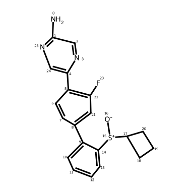 Nc1cnc(-c2ccc(-c3ccccc3[S+]([O-])C3CCC3)cc2F)cn1